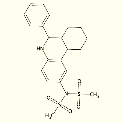 CS(=O)(=O)N(c1ccc2c(c1)C1CCCCC1C(c1ccccc1)N2)S(C)(=O)=O